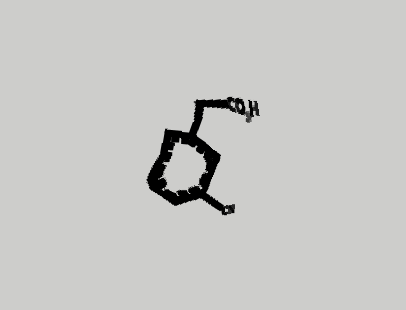 N#Cc1cccc([CH]C(=O)O)c1